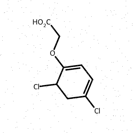 O=C(O)COC1=CC=C(Cl)CC1Cl